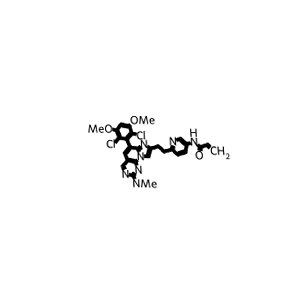 C=CC(=O)Nc1ccc(CCc2cn3c(n2)c(-c2c(Cl)c(OC)cc(OC)c2Cl)cc2cnc(NC)nc23)nc1